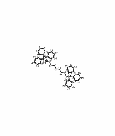 C1=CCCC([PH](CCCCCCCCC[PH](C2=CC=CCC2)(c2ccccc2)c2ccccc2)(c2ccccc2)c2ccccc2)=C1